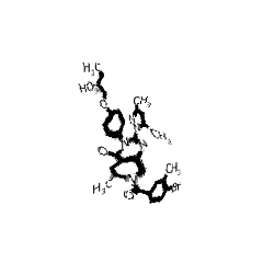 CC[C@@H](O)COc1ccc(-n2c(-n3nc(C)cc3C)nc3c(c2=O)C[C@@H](C)N(C(=O)c2ccc(Br)c(C)c2)C3)cc1